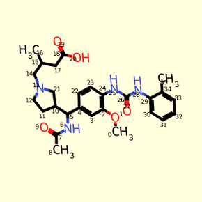 COc1cc(C(NC(C)=O)C2CCN(CC(C)CC(=O)O)C2)ccc1NC(=O)Nc1ccccc1C